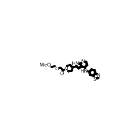 COCCOCC(=O)N1CC=C(c2cc3c(Nc4ccc5ncsc5c4)ccnc3[nH]2)CC1